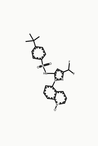 CC(C)(C)c1ccc(S(=O)(=O)Nc2cc(C(F)F)nn2-c2cccc3c2ccc[n+]3[O-])cc1